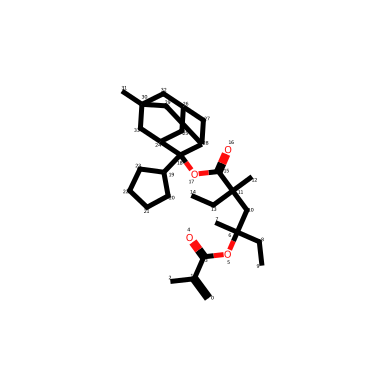 C=C(C)C(=O)OC(C)(CC)CC(C)(CC)C(=O)OC1(C2CCCC2)C2CC3CC1CC(C)(C3)C2